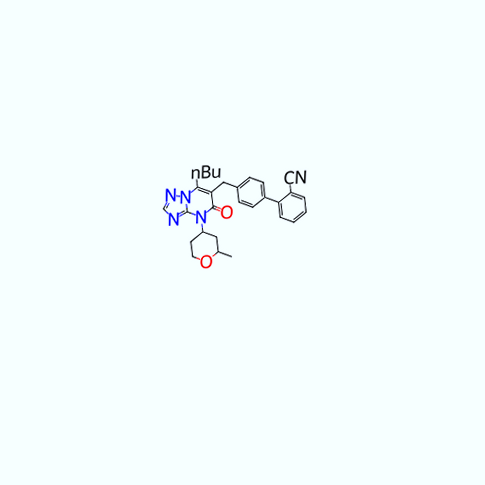 CCCCc1c(Cc2ccc(-c3ccccc3C#N)cc2)c(=O)n(C2CCOC(C)C2)c2ncnn12